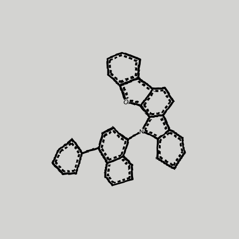 c1ccc(-c2ccc(-n3c4ccccc4c4ccc5c6ccccc6oc5c43)c3ccccc23)cc1